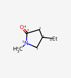 CCC1CC(=O)N(C)C1